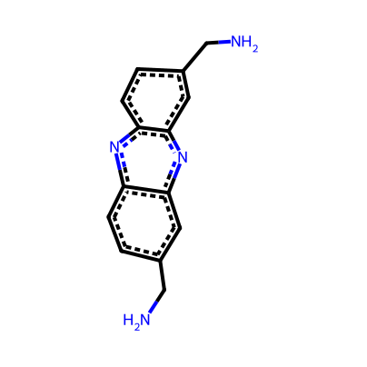 NCc1ccc2nc3ccc(CN)cc3nc2c1